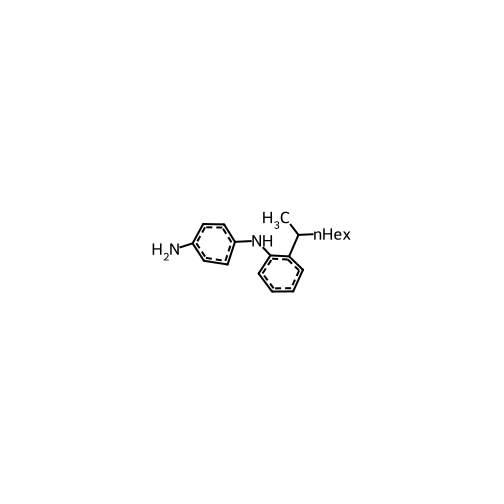 CCCCCCC(C)c1ccccc1Nc1ccc(N)cc1